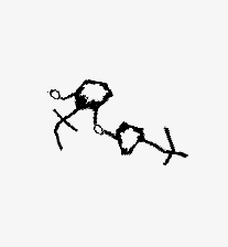 CCC(C)(C)c1c([O])cccc1Oc1ccc(C(C)(C)C)cc1